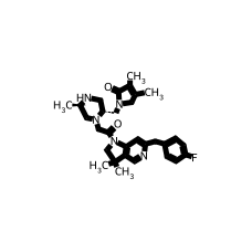 CC1=C(C)C(=O)N(C[C@H]2CN[C@H](C)CN2CC(=O)N2CC(C)(C)c3cnc(Cc4ccc(F)cc4)cc32)C1